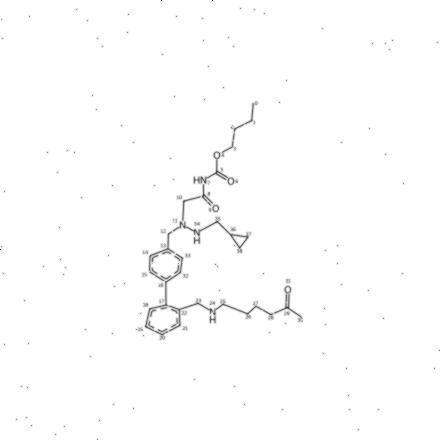 CCCCOC(=O)NC(=O)CN(Cc1ccc(-c2ccccc2CNCCCCC(C)=O)cc1)NCC1CC1